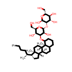 CC(C)CCC[C@@H](C)[C@H]1CC[C@H]2[C@@H]3CCC4CCCC(O[C@@H]5[C@H](O)[C@@H](O[C@H]6[C@@H](O)[C@H](O)[C@@H](CO)O[C@@H]6O)O[C@H](CO)[C@H]5O)[C@]4(C)[C@H]3CC[C@]12C